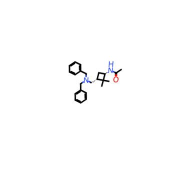 CC(=O)N[C@H]1C[C@@H](CN(Cc2ccccc2)Cc2ccccc2)C1(C)C